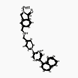 CCCC(C)N1Cc2cc(CNCC3CCN(c4cnc(-c5cccc6ccccc56)cn4)CC3)ccc2C1=O